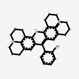 Sc1ccccc1C1=c2cc3c4c(c2Oc2c1cc1c5c2CCCN5CCC1)CCC[N+]=4CCC3